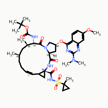 COc1ccc2c(O[C@@H]3C[C@H]4C(=O)N[C@]5(C(=O)NS(=O)(=O)C6(C)CC6)CC5/C=C\CC[C@@H](C)C[C@@H](C)[C@H](NC(=O)OC(C)(C)C)C(=O)N4C3)nc(N(C)C)nc2c1